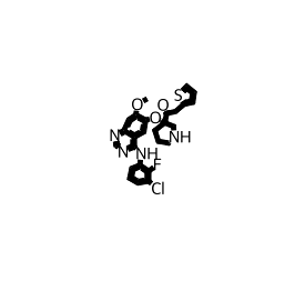 COc1cc2ncnc(Nc3cccc(Cl)c3F)c2cc1O[C@]1(C(=O)Cc2cccs2)CCCNC1